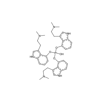 CN(C)CCc1c[nH]c2cccc(O[P+](O)(Oc3cccc4[nH]cc(CCN(C)C)c34)Oc3cccc4[nH]cc(CCN(C)C)c34)c12